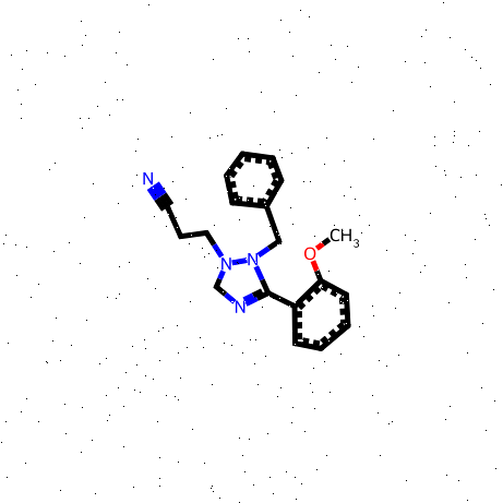 COc1ccccc1C1=NCN(CCC#N)N1Cc1ccccc1